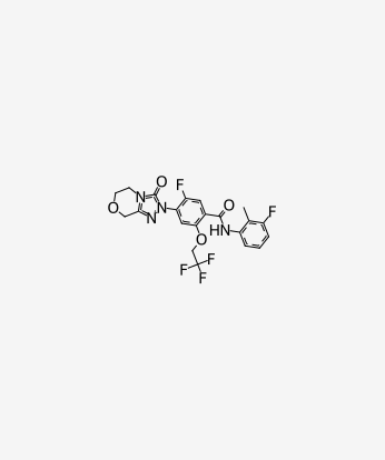 Cc1c(F)cccc1NC(=O)c1cc(F)c(-n2nc3n(c2=O)CCOC3)cc1OCC(F)(F)F